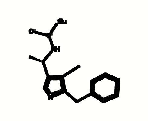 Cc1c([C@H](C)N[S+]([O-])C(C)(C)C)cnn1Cc1ccccc1